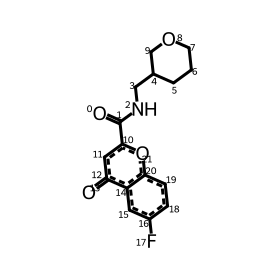 O=C(NCC1CCCOC1)c1cc(=O)c2cc(F)ccc2o1